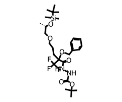 C[C@@H](COCCCC(OCc1ccccc1)(C(=O)NNC(=O)OC(C)(C)C)C(F)(F)F)O[Si](C)(C)C(C)(C)C